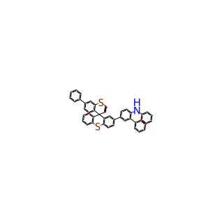 c1ccc(Nc2ccc(-c3ccc4c(c3)C3(c5ccccc5Sc5cc(-c6ccccc6)ccc53)c3ccccc3S4)cc2-c2ccccc2)cc1